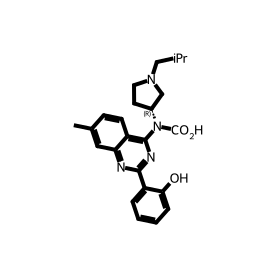 Cc1ccc2c(N(C(=O)O)[C@@H]3CCN(CC(C)C)C3)nc(-c3ccccc3O)nc2c1